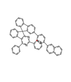 c1ccc(-c2nc(-c3ccccc3)c3c(n2)C2(c4ccccc4-c4ccc(-c5ccc(-c6ccc7ccccc7c6)cc5)cc42)c2ccccc2-3)cc1